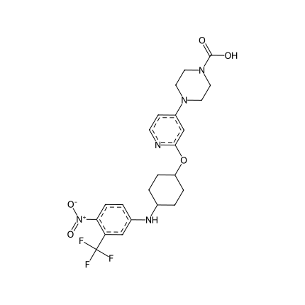 O=C(O)N1CCN(c2ccnc(OC3CCC(Nc4ccc([N+](=O)[O-])c(C(F)(F)F)c4)CC3)c2)CC1